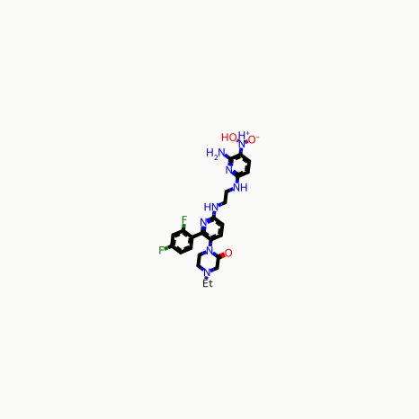 CCN1CCN(c2ccc(NCCNc3ccc([NH+]([O-])O)c(N)n3)nc2-c2ccc(F)cc2F)C(=O)C1